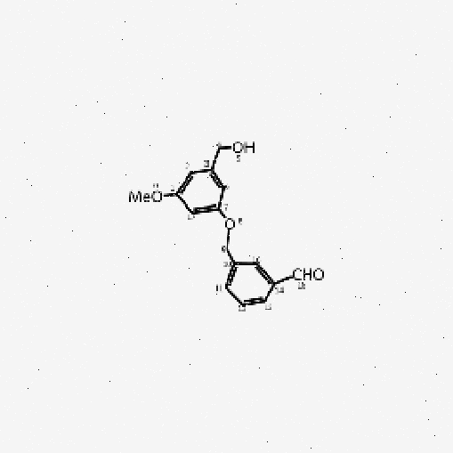 COc1cc(CO)cc(OCc2cccc(C=O)c2)c1